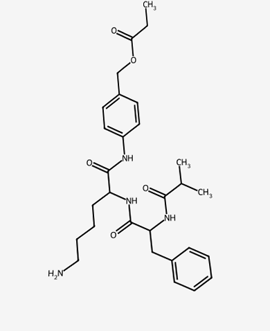 CCC(=O)OCc1ccc(NC(=O)C(CCCCN)NC(=O)C(Cc2ccccc2)NC(=O)C(C)C)cc1